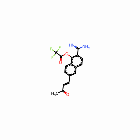 CC(=O)C=Cc1ccc2c(OC(=O)C(F)(F)F)c(C(=N)N)ccc2c1